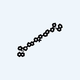 CC1(C)c2cc(-c3ccc4cc(-c5ccc6c(c5)c5ccccc5n6-c5cccc6ccccc56)ccc4c3)ccc2-c2ccc(-c3ccc4cc(C5C=c6c(n(-c7cccc8ccccc78)c7ccccc67)=CC5)ccc4c3)cc21